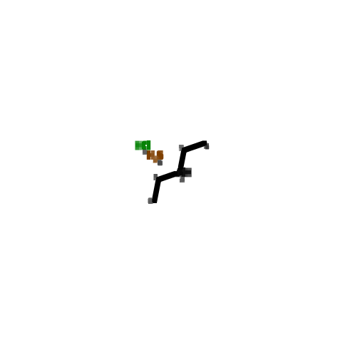 C[CH2][AlH][CH2]C.Cl.S